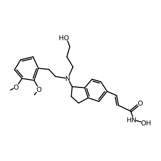 COc1cccc(CCN(CCCO)C2CCc3cc(C=CC(=O)NO)ccc32)c1OC